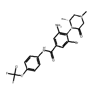 C[C@@H]1CN(C)CC(=O)N1c1c(N)cc(C(=O)Nc2ccc(OC(F)(F)Cl)cc2)cc1Br